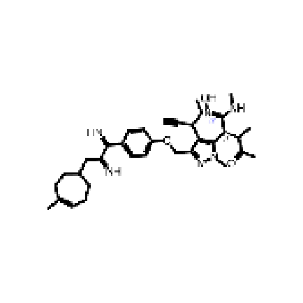 C#CC(CC)c1c(COc2ccc(C(=N)C(=N)CC3CCC=C(C)CC3)cc2)nn(C)c1[C@@H](/C(=N/O)NC)C(C)C(C)=O